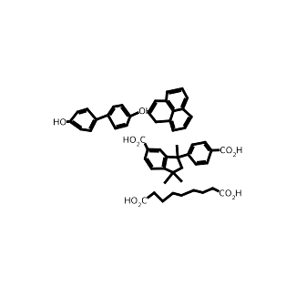 C1=Cc2cccc3cccc(c23)C1.CC1(C)CC(C)(c2ccc(C(=O)O)cc2)c2cc(C(=O)O)ccc21.O=C(O)CCCCCCCC(=O)O.Oc1ccc(-c2ccc(O)cc2)cc1